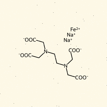 O=C([O-])CN(CCN(CC(=O)[O-])CC(=O)[O-])CC(=O)[O-].[Fe+2].[Na+].[Na+]